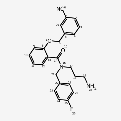 N#Cc1cccc(COc2ccccc2C(=O)N(CCCN)Cc2ccc(F)cc2)c1